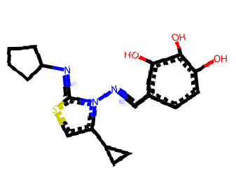 Oc1ccc(/C=N/n2c(C3CC3)cs/c2=N\C2CCCC2)c(O)c1O